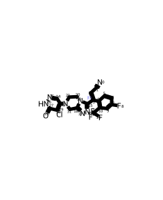 N#C/C=C(\c1ccc(F)cc1C(F)(F)F)c1nnc2n1CCN(c1cn[nH]c(=O)c1Cl)C2